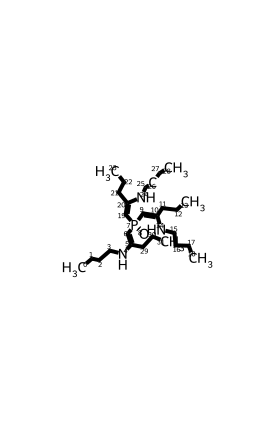 CCCCNC(=CP(=O)(C=C(CCC)NCCCC)C=C(CCC)NCCCC)CCC